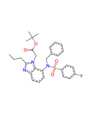 CCCc1nc2cccc(N(Cc3ccccc3)S(=O)(=O)c3ccc(F)cc3)c2n1CC(=O)OC(C)(C)C